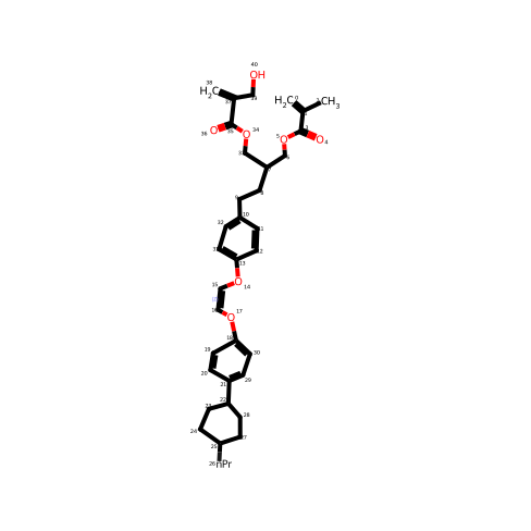 C=C(C)C(=O)OCC(CCc1ccc(O/C=C\Oc2ccc(C3CCC(CCC)CC3)cc2)cc1)COC(=O)C(=C)CO